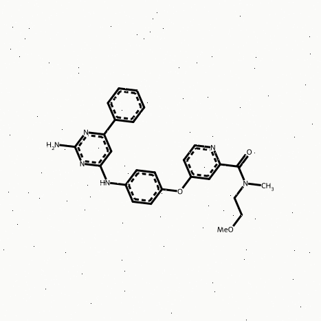 COCCN(C)C(=O)c1cc(Oc2ccc(Nc3cc(-c4ccccc4)nc(N)n3)cc2)ccn1